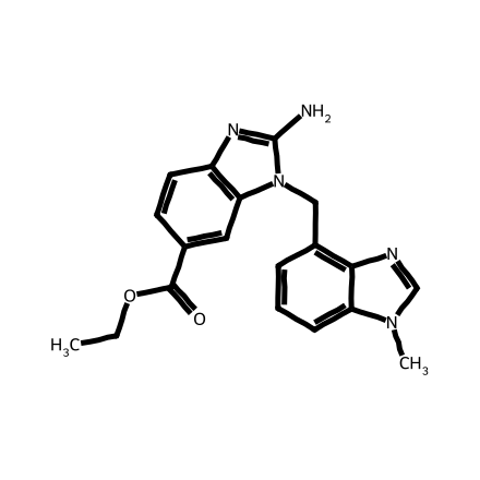 CCOC(=O)c1ccc2nc(N)n(Cc3cccc4c3ncn4C)c2c1